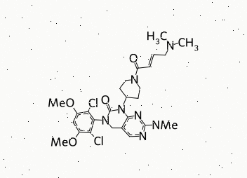 CNc1ncc2c(n1)N(C1CCN(C(=O)C=CCN(C)C)CC1)C(=O)N(c1c(Cl)c(OC)cc(OC)c1Cl)C2